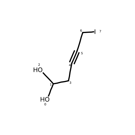 OC(O)CC#CCI